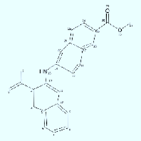 C=C(C)c1cc2ccccc2cc1Nc1ccc2cc(C(=O)OC)ccc2c1